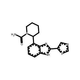 NC(=O)N1CCCCC1c1cccc2[nH]c(-c3cncs3)nc12